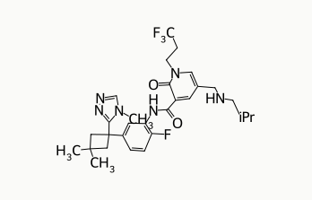 CC(C)CNCc1cc(C(=O)Nc2cc(C3(c4nncn4C)CC(C)(C)C3)ccc2F)c(=O)n(CCC(F)(F)F)c1